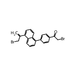 C=C(CBr)c1cccc2c(-c3ccc(C(=O)CBr)cc3)cccc12